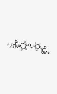 COC(=O)c1ccc(COc2ccc(NC(=O)C(F)(F)F)cc2)o1